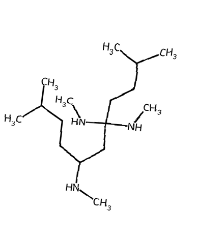 CNC(CCC(C)C)CC(CCC(C)C)(NC)NC